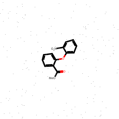 COC(=O)c1ccccc1Oc1ccccc1[N+](=O)[O-]